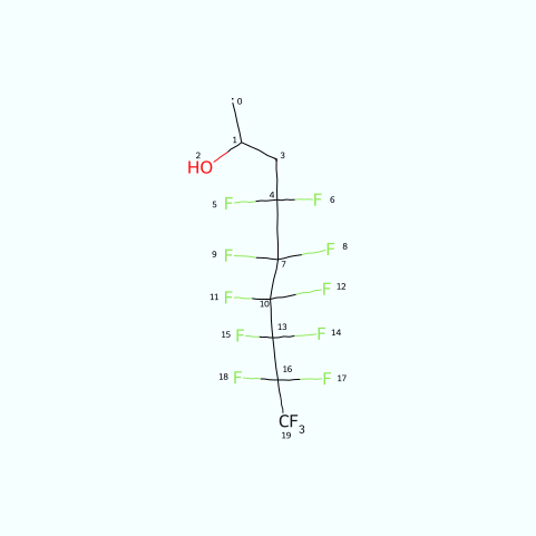 [CH2]C(O)CC(F)(F)C(F)(F)C(F)(F)C(F)(F)C(F)(F)C(F)(F)F